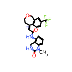 CN1C(=O)NCc2c(NC(=O)/C=C3/CCOCc4cc(C(F)(F)F)ccc43)cccc21